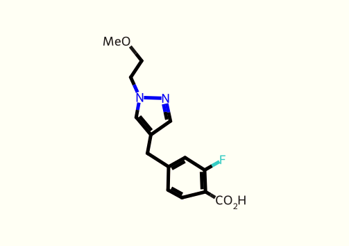 COCCn1cc(Cc2ccc(C(=O)O)c(F)c2)cn1